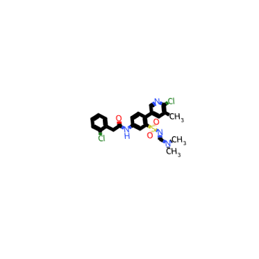 Cc1cc(-c2ccc(NC(=O)Cc3ccccc3Cl)cc2S(=O)(=O)N=CN(C)C)cnc1Cl